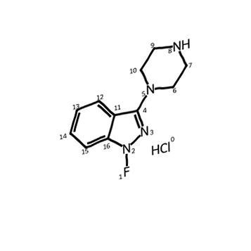 Cl.Fn1nc(N2CCNCC2)c2ccccc21